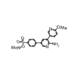 CNOS(=O)(=O)c1ccc(-c2cnc(N)c(-c3ccc(OC)nc3)c2)cc1